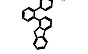 [O]Cc1ccc(-c2ccccc2-c2cccc3c2Cc2ccccc2-3)cc1